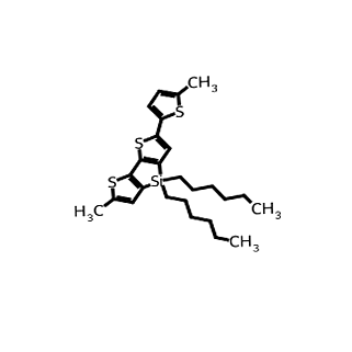 CCCCCC[Si]1(CCCCCC)c2cc(C)sc2-c2sc(-c3ccc(C)s3)cc21